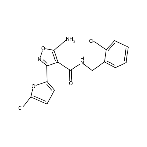 Nc1onc(-c2ccc(Cl)o2)c1C(=O)NCc1ccccc1Cl